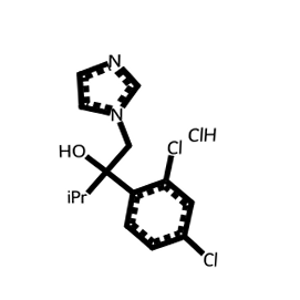 CC(C)C(O)(Cn1ccnc1)c1ccc(Cl)cc1Cl.Cl